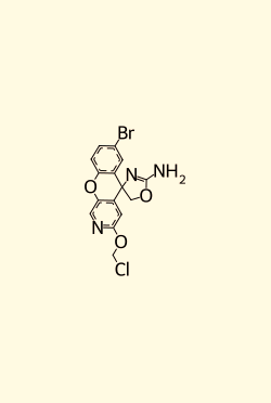 NC1=NC2(CO1)c1cc(Br)ccc1Oc1cnc(OCCl)cc12